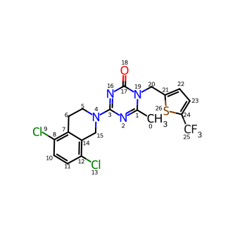 Cc1nc(N2CCc3c(Cl)ccc(Cl)c3C2)nc(=O)n1Cc1ccc(C(F)(F)F)s1